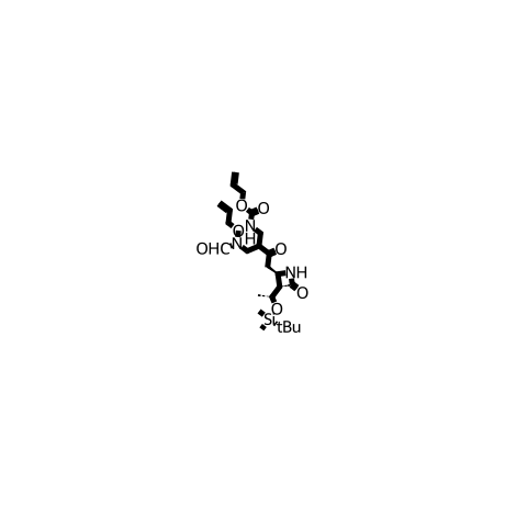 C=CCOC(=O)NCC(CN(C=O)OCC=C)C(=O)C[C@H]1NC(=O)[C@@H]1[C@@H](C)O[Si](C)(C)C(C)(C)C